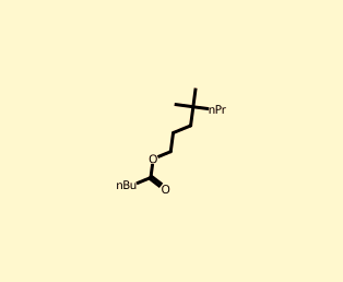 CCCCC(=O)OCCCC(C)(C)CCC